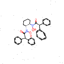 O=C(C(c1ccccc1)c1ccccc1)N(O)[C@@H]1CCCC[C@H]1N(O)C(=O)C(c1ccccc1)c1ccccc1